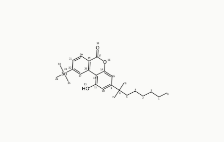 CCCCCCC(C)(C)c1cc(O)c2c(c1)oc(=O)c1cc[c]([Sn]([CH3])([CH3])[CH3])cc12